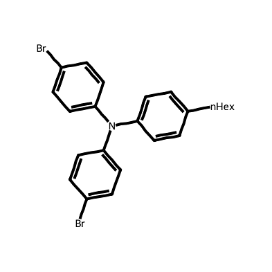 CCCCCCc1ccc(N(c2ccc(Br)cc2)c2ccc(Br)cc2)cc1